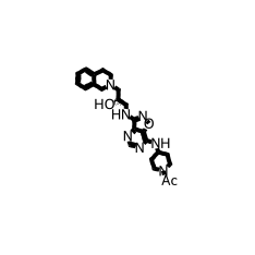 CC(=O)N1CCC(Nc2ncnc3c(NC[C@H](O)CN4CCc5ccccc5C4)noc23)CC1